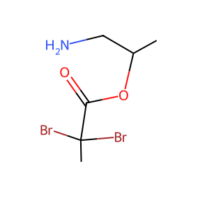 CC(CN)OC(=O)C(C)(Br)Br